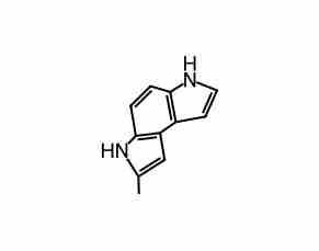 Cc1cc2c(ccc3[nH]ccc32)[nH]1